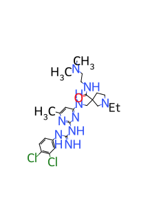 CCN1CCC(CNc2cc(C)nc(NC(=N)Nc3ccc(Cl)c(Cl)c3)n2)(C(=O)NCCN(C)C)C1